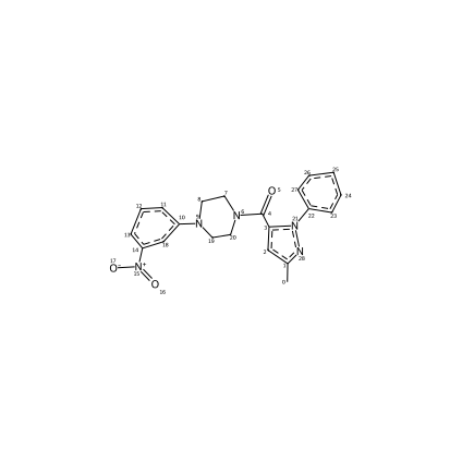 Cc1cc(C(=O)N2CCN(c3cccc([N+](=O)[O-])c3)CC2)n(-c2ccccc2)n1